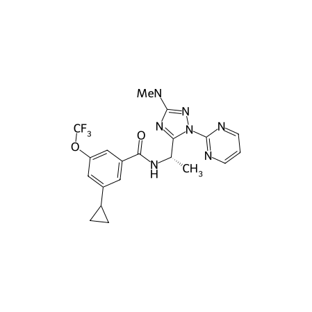 CNc1nc([C@H](C)NC(=O)c2cc(OC(F)(F)F)cc(C3CC3)c2)n(-c2ncccn2)n1